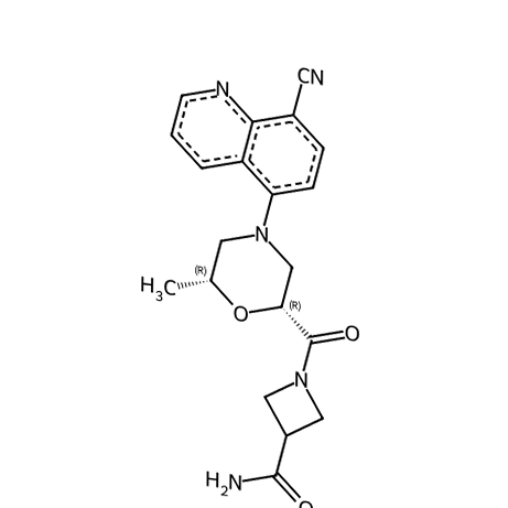 C[C@@H]1CN(c2ccc(C#N)c3ncccc23)C[C@H](C(=O)N2CC(C(N)=O)C2)O1